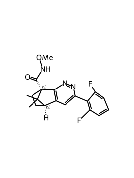 CONC(=O)[C@]12CC[C@H](c3cc(-c4c(F)cccc4F)nnc31)C2(C)C